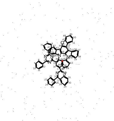 c1ccc(-c2nc(-c3ccccc3)nc(-c3cc(-c4nc(-c5ccccc5)c5ccccc5n4)ccc3-n3c4ccccc4c4c5oc6ccccc6c5c5c6ccccc6n(-c6ccccc6)c5c43)n2)cc1